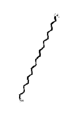 C=CCCCCCCCCCCCCCCCCCS